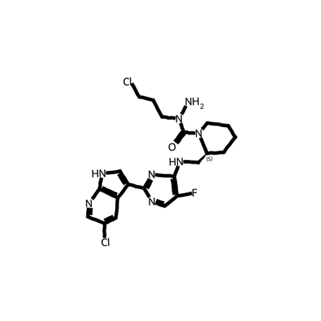 NN(CCCCl)C(=O)N1CCCC[C@H]1CNc1nc(-c2c[nH]c3ncc(Cl)cc23)ncc1F